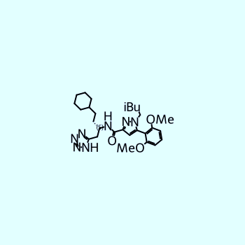 CCC(C)Cn1nc(C(=O)N[C@@H](CCC2CCCCC2)Cc2nnn[nH]2)cc1-c1c(OC)cccc1OC